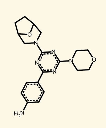 Nc1ccc(-c2nc(N3CCOCC3)nc(N3CC4CCC(C3)O4)n2)cc1